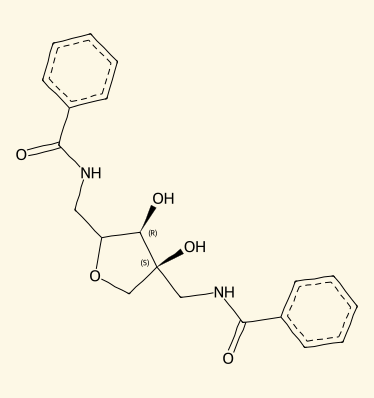 O=C(NCC1OC[C@@](O)(CNC(=O)c2ccccc2)[C@@H]1O)c1ccccc1